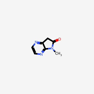 CN1C(=O)Cc2nccnc21